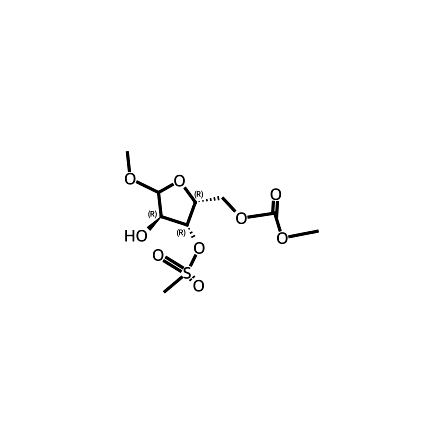 COC(=O)OC[C@H]1OC(OC)[C@H](O)[C@H]1OS(C)(=O)=O